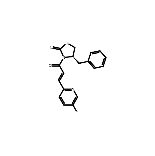 O=C(C=Cc1ccc(F)cn1)N1C(=O)OC[C@H]1Cc1ccccc1